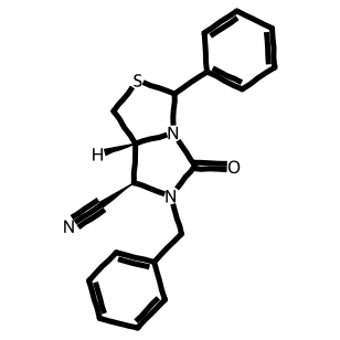 N#C[C@H]1[C@@H]2CSC(c3ccccc3)N2C(=O)N1Cc1ccccc1